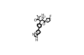 CN(C)C(=O)C(c1ccc(-c2ccc3[nH]cn[n+]3c2)cc1)C(N)C(=O)N1CC[C@H](F)C1